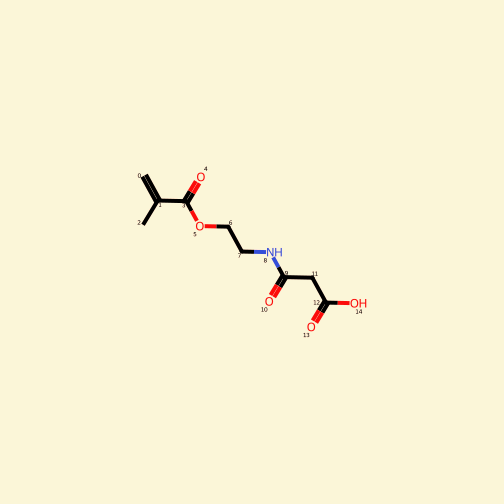 C=C(C)C(=O)OCCNC(=O)CC(=O)O